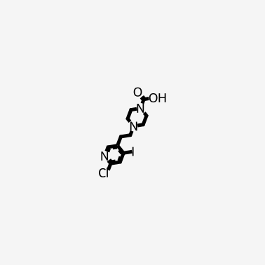 O=C(O)N1CCN(CCc2cnc(Cl)cc2I)CC1